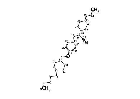 CCCCC[C@H]1CC[C@H](COc2ccc(CC(C#N)[C@H]3CC[C@H](CCC)CC3)cc2)CC1